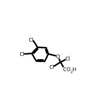 O=C(O)C(Cl)(Cl)Oc1ccc(Cl)c(Cl)c1